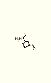 CC[C@H](N)c1cc(C=O)ccn1